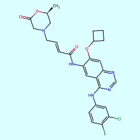 C[C@H]1CN(CC=CC(=O)Nc2cc3c(Nc4ccc(F)c(Cl)c4)ncnc3cc2OC2CCC2)CC(=O)O1